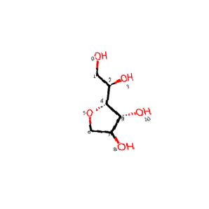 OC[C@@H](O)[C@H]1OCC(O)[C@H]1O